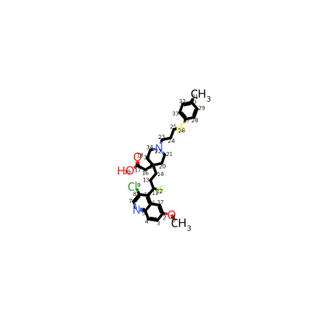 COc1ccc2ncc(Cl)c(C(F)CCC3(CC(=O)O)CCN(CCCSc4ccc(C)cc4)CC3)c2c1